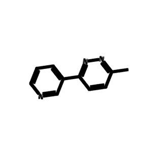 Cc1ccc(-c2cccnc2)nn1